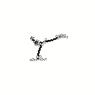 CCCCCCCCC(CCCCCCCC)OC(=O)CCCCCCCC(=O)OC[C@@H](COP(=O)([O-])OCC[N+](C)(C)C)OC(=O)CCCCCCC(=O)OC(CCCCCCCC)CCCCCCCC